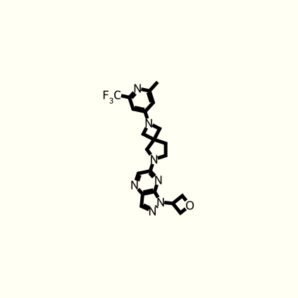 Cc1cc(N2CC3(CCN(c4cnc5cnn(C6COC6)c5n4)C3)C2)cc(C(F)(F)F)n1